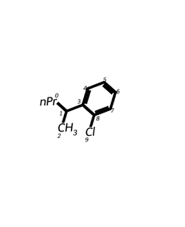 CCCC(C)c1ccccc1Cl